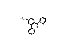 CC(C)(C)c1ccc(Nc2ccccc2)c(-c2ccccc2)c1